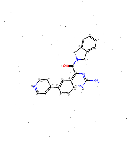 Nc1nc(C(=O)N2Cc3ccccc3C2)c2cc(-c3ccncc3)ccc2n1